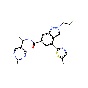 Cc1cnc(-c2cc(C(=O)NC(C)c3cnc(C(F)(F)F)nc3)cc3nn(CCF)cc23)s1